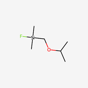 CC(C)OC[Si](C)(C)F